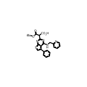 CCC(C)OC(=O)C(C(=O)O)c1nc(NCc2ccccn2)c2c(-c3ccccc3)csc2n1